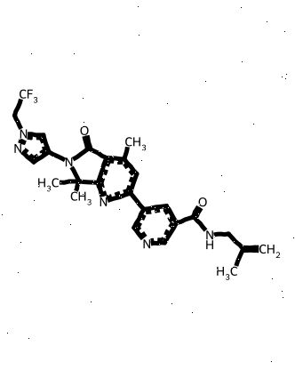 C=C(C)CNC(=O)c1cncc(-c2cc(C)c3c(n2)C(C)(C)N(c2cnn(CC(F)(F)F)c2)C3=O)c1